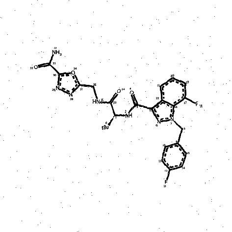 CC(C)(C)[C@H](NC(=O)c1nn(Cc2ccc(F)cc2)c2c(F)cccc12)C(=O)NCc1nnc(C(N)=O)o1